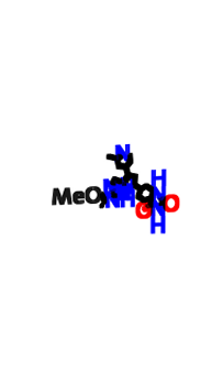 COC[C@H](C)Nc1ncc2c(-c3ccnc(C)c3)cc(C3CCC4(CC3)NC(=O)NC4=O)n2n1